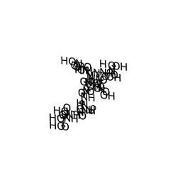 Cc1cc(C(=O)NCCN(CCCN(CCNC(=O)c2cc(C)n(CC(=O)O)c(=O)c2O)CCNC(=O)c2cc(C)n(CC(=O)NCc3ccc(C(=O)N[C@@H](Cc4ccc5ccccc5n4)C(=O)NCCCC[C@H](NC(=O)N[C@H](CCC(=O)O)C(=O)O)C(=O)O)nc3)c(=O)c2O)CCNC(=O)c2cc(C)n(CC(=O)O)c(=O)c2O)c(O)c(=O)n1CC(=O)O